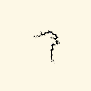 CCCCC/C=C\C[C@H]1O[C@@H]1C(O)/C=C\C/C=C\CCCC(=O)OC